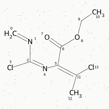 C=N/C(Cl)=N\C(C(=O)OCC)=C(/C)Cl